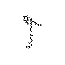 CCNCCNCOCCOC(COC)C[C@@H]1CCNC1=O